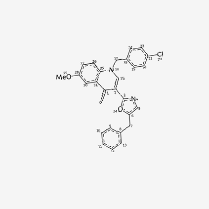 C=C1C(c2ncc(Cc3ccccc3)o2)=CN(Cc2ccc(Cl)cc2)c2ccc(OC)cc21